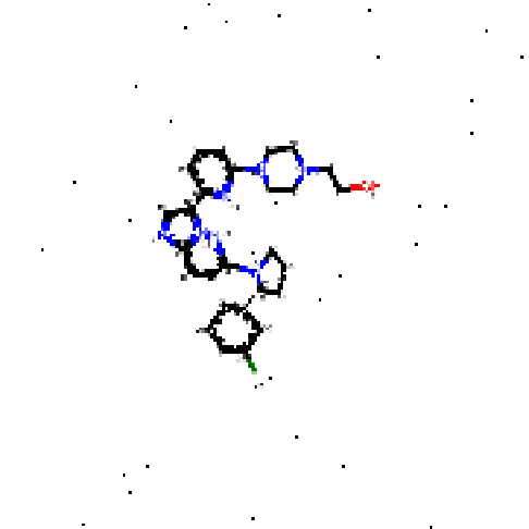 OCCN1CCN(c2cccc(-c3cnc4ccc(N5CCC[C@@H]5c5cccc(F)c5)nn34)n2)CC1